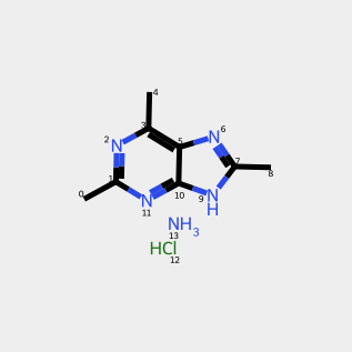 Cc1nc(C)c2nc(C)[nH]c2n1.Cl.N